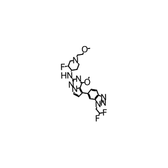 COCCN1CC[C@H](Nc2nc(OC)c3c(-c4ccc5nnn(CC(F)F)c5c4)ccn3n2)[C@@H](F)C1